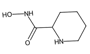 O=C(NO)C1CCCCN1